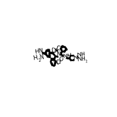 N=C(N)c1ccc(CC(CN(C(=O)C(F)(F)F)C(C(=O)NCC2CCN(C(=N)N)CC2)C2CCCCC2)c2ccccc2Cl)cc1